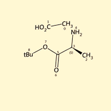 CC(=O)O.C[C@H](N)C(=O)OC(C)(C)C